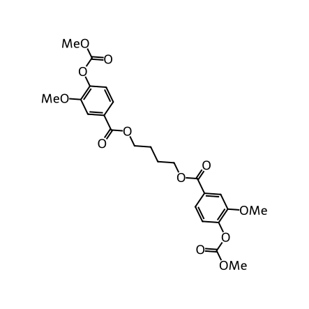 COC(=O)Oc1ccc(C(=O)OCCCCOC(=O)c2ccc(OC(=O)OC)c(OC)c2)cc1OC